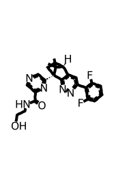 CC1(C)[C@H]2CC[C@]1(c1cncc(C(=O)NCCO)n1)c1nnc(-c3c(F)cccc3F)cc12